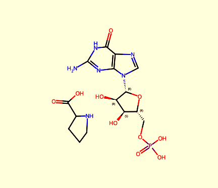 Nc1nc2c(ncn2[C@@H]2O[C@H](COP(=O)(O)O)[C@@H](O)[C@H]2O)c(=O)[nH]1.O=C(O)C1CCCN1